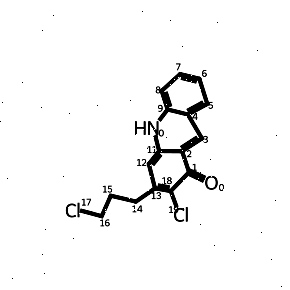 O=c1c2cc3ccccc3[nH]c-2cc(CCCCl)c1Cl